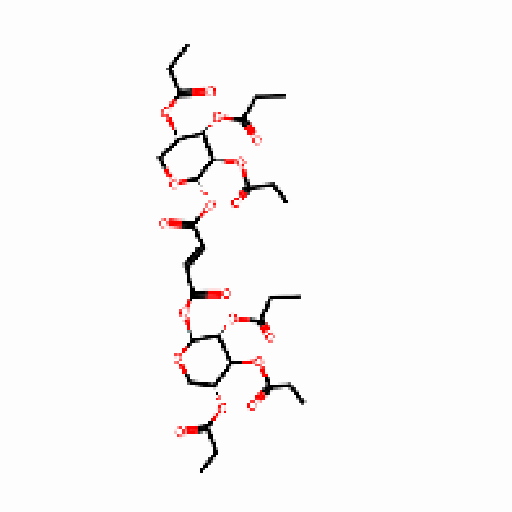 CCC(=O)O[C@@H]1[C@@H](OC(=O)CC)[C@H](OC(=O)/C=C/C(=O)O[C@@H]2OC[C@@H](OC(=O)CC)[C@H](OC(=O)CC)[C@H]2OC(=O)CC)OC[C@H]1OC(=O)CC